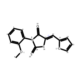 COc1ccccc1N1C(=O)/C(=C/c2ccco2)SC1=S